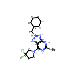 CC(C)(C)c1nc(N2CCC(F)(F)C2)c2nn(CC3CCCCC3)nc2n1